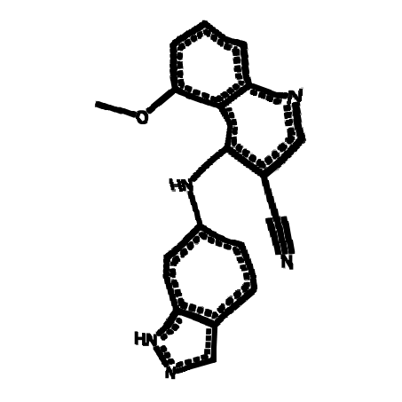 COc1cccc2ncc(C#N)c(Nc3ccc4cn[nH]c4c3)c12